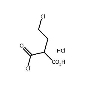 Cl.O=C(O)C(CCCl)C(=O)Cl